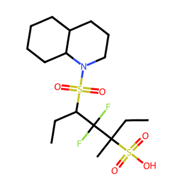 CCC(C(F)(F)C(C)(CC)S(=O)(=O)O)S(=O)(=O)N1CCCC2CCCCC21